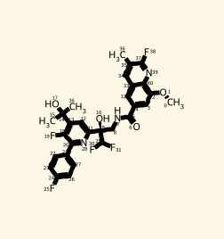 COc1cc(C(=O)NC[C@@](O)(c2cc(C(C)(C)O)c(F)c(-c3ccc(F)cc3)n2)C(F)F)cc2cc(C)c(F)nc12